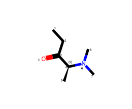 CCC(=O)[C@H](C)N(C)C